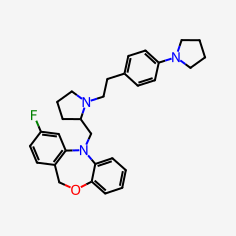 Fc1ccc2c(c1)N(CC1CCCN1CCc1ccc(N3CCCC3)cc1)c1ccccc1OC2